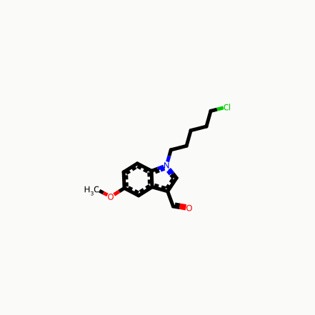 COc1ccc2c(c1)c(C=O)cn2CCCCCCl